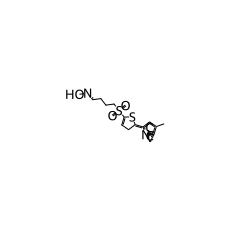 Cc1c2ccc3c1n-3c2=C1CC=C(S(=O)(=O)CCCC=NO)S1